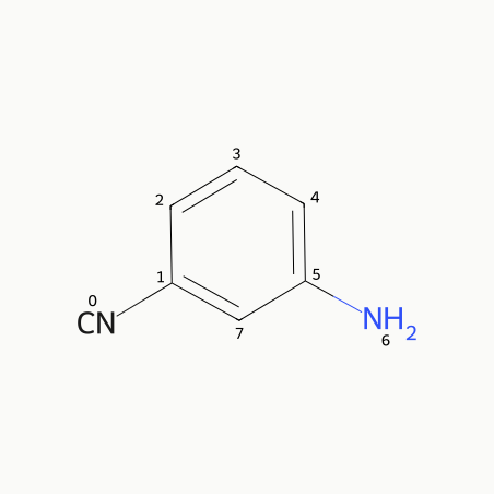 [C-]#[N+]c1cccc(N)c1